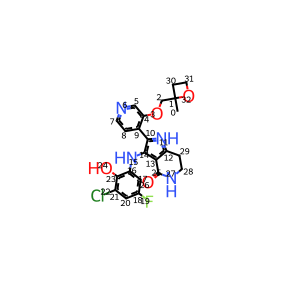 CC1(COc2cnccc2-c2[nH]c3c(c2Nc2cc(F)cc(Cl)c2O)C(=O)NCC3)CCO1